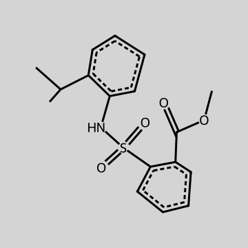 COC(=O)c1ccccc1S(=O)(=O)Nc1ccccc1C(C)C